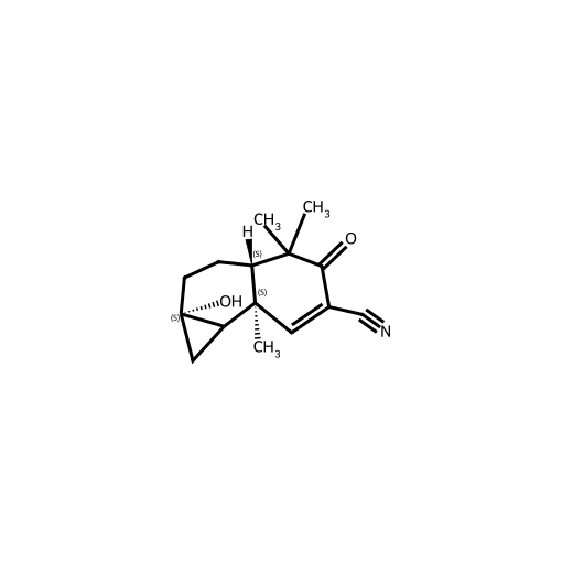 CC1(C)C(=O)C(C#N)=C[C@@]2(C)C3C[C@@]3(O)CC[C@H]12